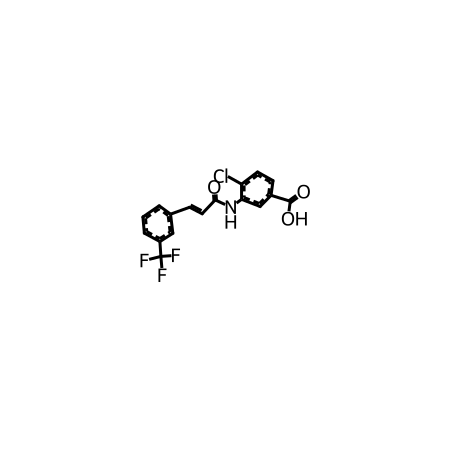 O=C(C=Cc1cccc(C(F)(F)F)c1)Nc1cc(C(=O)O)ccc1Cl